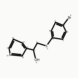 OC(CSc1ccc(Br)cc1)c1cccnc1